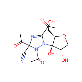 CC(=O)C1=NC(C#N)(C(C)=O)N(C(C)=O)N1[C@@]1(O)[C@@H](O)CO[C@@H]1CO